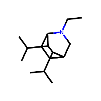 CCN1CC2CCC1C(C(C)C)C2C(C)C